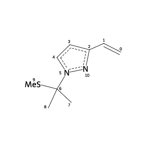 C=Cc1ccn(C(C)(C)SC)n1